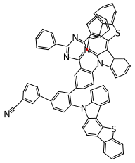 N#Cc1cccc(-c2ccc(-n3c4ccccc4c4c5sc6ccccc6c5ccc43)c(-c3ccc(-n4c5ccccc5c5c6sc7ccccc7c6ccc54)c(-c4nc(-c5ccccc5)nc(-c5ccccc5)n4)c3)c2)c1